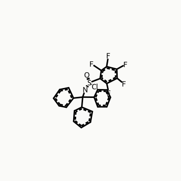 O=S(Cl)(=NC(c1ccccc1)(c1ccccc1)c1ccccc1)c1c(F)c(F)c(F)c(F)c1F